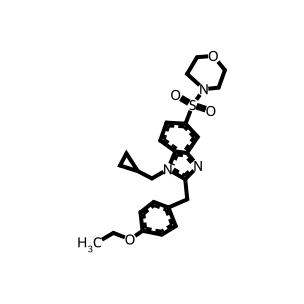 CCOc1ccc(Cc2nc3cc(S(=O)(=O)N4CCOCC4)ccc3n2CC2CC2)cc1